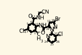 Cc1cc(Cl)cc(C(=O)NCC#N)c1NC(=O)c1cc(Br)nn1-c1ncccc1Cl